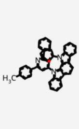 Cc1ccc(-c2cc(-n3c4ccccc4c4ccc5c6ccccc6n(-c6ccccc6)c5c43)cc(-c3ccccc3)n2)cc1